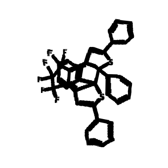 FC1(F)C2=C3C=C(c4ccccc4)SC3(c3ccccc3)C3(c4ccccc4)SC(c4ccccc4)=CC3=C2C(F)(F)C1(F)F